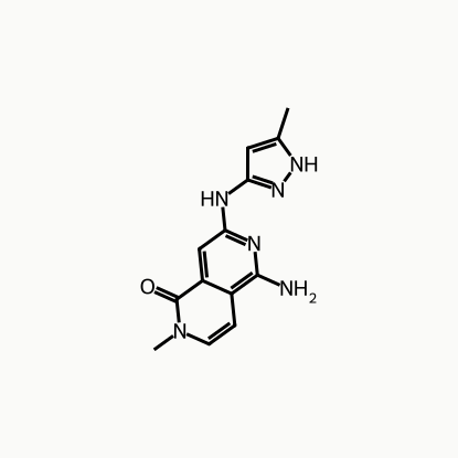 Cc1cc(Nc2cc3c(=O)n(C)ccc3c(N)n2)n[nH]1